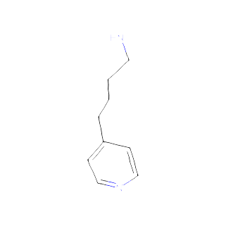 [NH]CCCCc1ccncc1